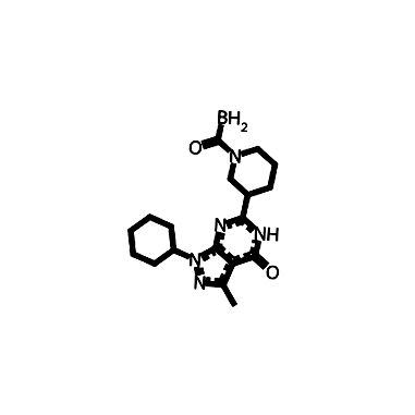 BC(=O)N1CCCC(c2nc3c(c(C)nn3C3CCCCC3)c(=O)[nH]2)C1